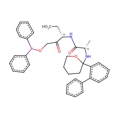 C[C@H](NC1(c2ccccc2-c2ccccc2)CCCCO1)C(=O)N[C@@H](CC(=O)O)C(=O)COP(c1ccccc1)c1ccccc1